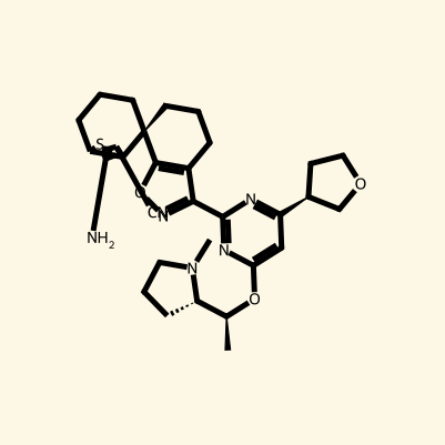 C[C@H](Oc1cc([C@H]2CCOC2)nc(-c2noc3c2CCC[C@@]32CCCc3sc(N)c(C#N)c32)n1)[C@@H]1CCCN1C